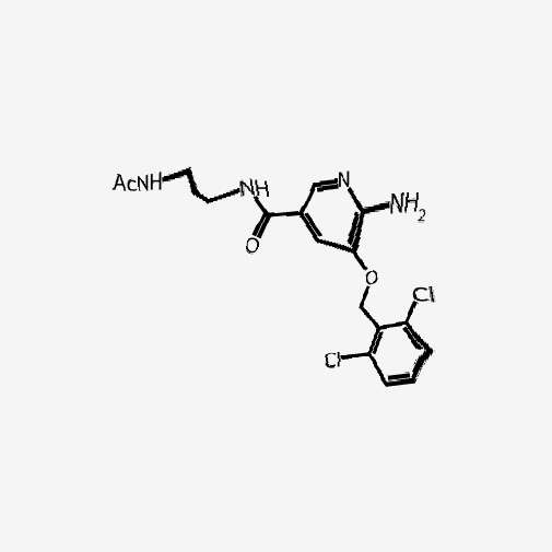 CC(=O)NCCNC(=O)c1cnc(N)c(OCc2c(Cl)cccc2Cl)c1